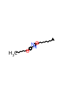 CCCCCCCCOc1ccc(-c2ncc(OCCCCCCCCCC3CC3)cn2)cc1